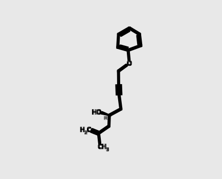 C=C(C)C[C@@H](O)CC#CCOc1ccccc1